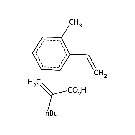 C=C(CCCC)C(=O)O.C=Cc1ccccc1C